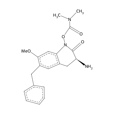 COc1cc2c(cc1Cc1ccccc1)C[C@H](N)C(=O)N2OC(=O)N(C)C